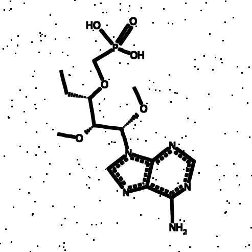 CC[C@H](OCP(=O)(O)O)[C@@H](OC)[C@H](OC)n1cnc2c(N)ncnc21